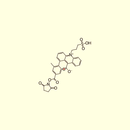 Cc1cc(C(=O)ON2C(=O)CCC2=O)cc(C)c1-c1cccc2c1c(C(=O)[O-])c1ccccc1[n+]2CCCS(=O)(=O)O